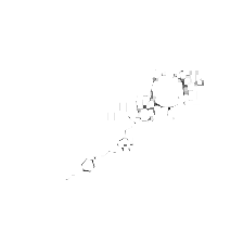 CCCSc1ccc(OCCCn2cc(CCN(C)[C@H]3C[C@@H](C)O[C@@H](O[C@@H]4[C@@H](C)C[C@@H](C)C(=O)O[C@H](CC)[C@@](C)(O)[C@H](O)[C@@H](C)N(C)C[C@H](C)C[C@@]4(C)O)[C@@H]3O)nn2)cc1